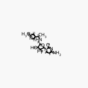 CC(NC[C@H]1O[C@@H](n2ccc(N)nc2=O)C(F)(F)[C@@H]1O)c1cnn(C)c1